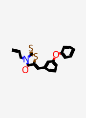 C=CCN1C(=O)C(=Cc2cccc(Oc3ccccc3)c2)SC1=S